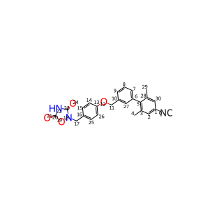 [C-]#[N+]c1cc(C)c(-c2cccc(COc3ccc(Cn4oc(=O)[nH]c4=O)cc3)c2)c(C)c1